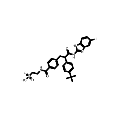 CC(C)(C)c1ccc(C(Cc2ccc(C(=O)NCCS(=O)(=O)O)cc2)C(=O)Nc2nc3cc(Cl)ccc3[nH]2)cc1